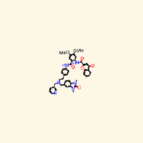 COc1cc(NC(=O)c2cc(=O)c3ccccc3o2)c(C(=O)Nc2ccc(CCN(Cc3cccnc3)Cc3ccc4c(c3)n(C)c(=O)n4C)cc2)cc1OC